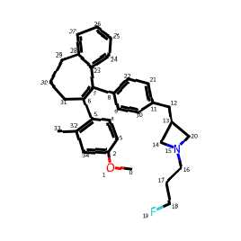 COc1ccc(C2=C(c3ccc(CC4CN(CCCF)C4)cc3)c3ccccc3CCC2)c(C)c1